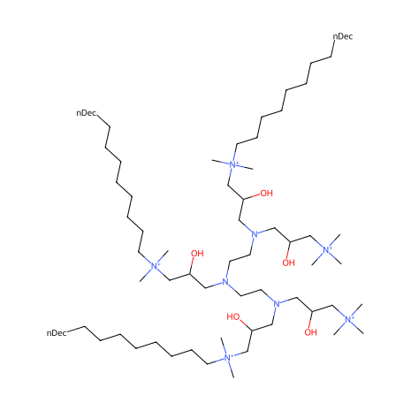 CCCCCCCCCCCCCCCCCC[N+](C)(C)CC(O)CN(CCN(CC(O)C[N+](C)(C)C)CC(O)C[N+](C)(C)CCCCCCCCCCCCCCCCCC)CCN(CC(O)C[N+](C)(C)C)CC(O)C[N+](C)(C)CCCCCCCCCCCCCCCCCC